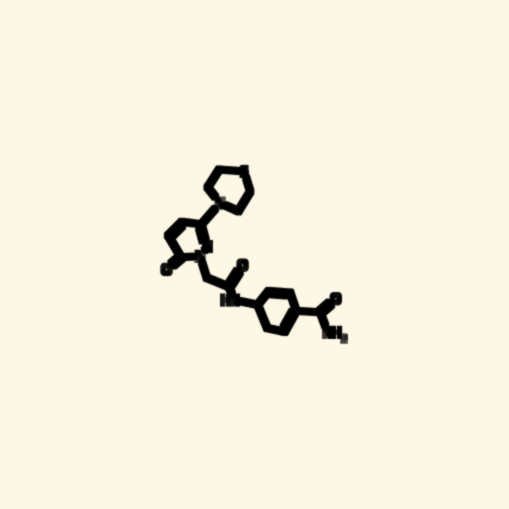 NC(=O)C1=CCC(NC(=O)Cn2nc(N3CCSCC3)ccc2=O)C=C1